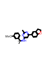 COc1cccc([C@H](C)Nc2cc(-c3ccc4c(c3)CCO4)nc(C)n2)c1